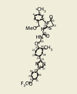 COCc1ccc(C)cc1N1C(=O)CS/C1=N\C(=O)NCOc1ccc(-c2ncn(-c3ccc(OC(F)(F)F)cc3)n2)cc1C